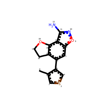 Cc1cscc1-c1cc2onc(N)c2c2c1CCO2